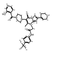 Cc1c(N2CCN(C(=O)c3ccncc3O)CC2)c(=O)n2nc(C3=CCOCC3)nc2n1CC(=O)Nc1ccc(C(F)(F)F)cc1